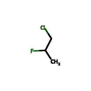 CC(F)CCl